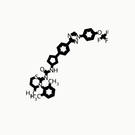 Cc1cccc(C)c1N1/C(=N/C(=O)NC2CCC(c3ccc(-c4ncn(-c5ccc(OC(F)(F)F)cc5)n4)cc3)C2)SCCC1C